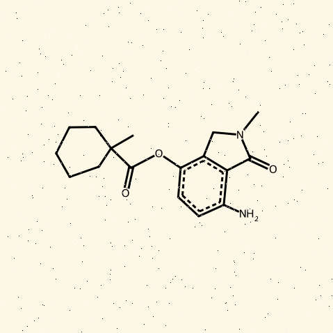 CN1Cc2c(OC(=O)C3(C)CCCCC3)ccc(N)c2C1=O